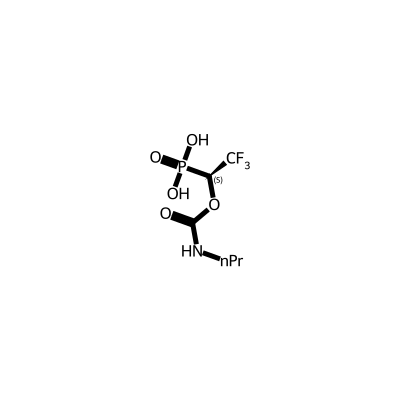 CCCNC(=O)O[C@H](C(F)(F)F)P(=O)(O)O